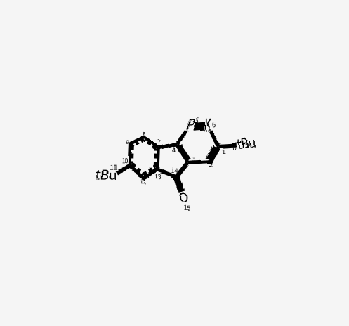 CC(C)(C)[C]1=CC2=C([P]=[K]1)c1ccc(C(C)(C)C)cc1C2=O